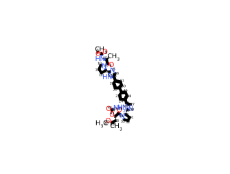 COC(=O)N[C@@H](C)C(=O)N1CCC[C@H]1c1ncc(-c2ccc(-c3ccc(-c4cnc([C@@H]5CCCN5C(=O)[C@H](CC(C)OC)OC(N)=O)[nH]4)cc3)cc2)[nH]1